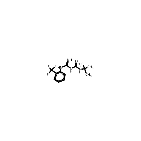 CC(C)(C)NC(=O)NC(=N)Nc1ccccc1C(F)(F)F